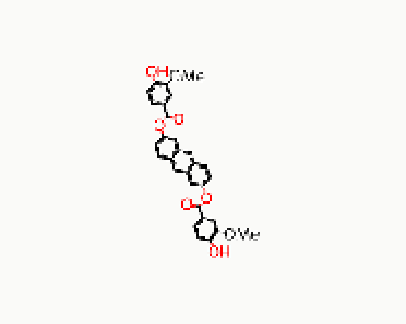 COc1cc(C(=O)Oc2ccc3cc4cc(OC(=O)c5ccc(O)c(OC)c5)ccc4cc3c2)ccc1O